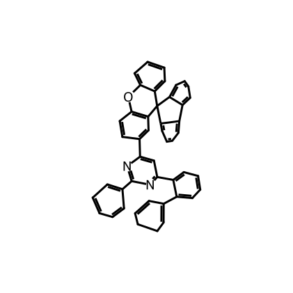 C1=CC(c2ccccc2-c2cc(-c3ccc4c(c3)C3(c5ccccc5O4)c4ccccc4-c4ccccc43)nc(-c3ccccc3)n2)=CCC1